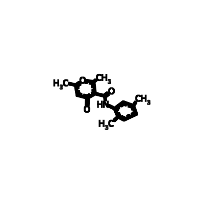 Cc1ccc(C)c(NC(=O)c2c(C)oc(C)cc2=O)c1